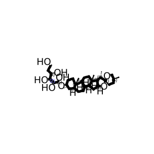 C[C@H]1CC[C@@]2(OC1)O[C@H]1C[C@H]3[C@@H]4CC[C@@H]5C[C@@H](O[C@H](O)/C(O)=C(/O)[C@@H](O)CCO)CC[C@]5(C)[C@H]4CC[C@]3(C)[C@H]1[C@@H]2C